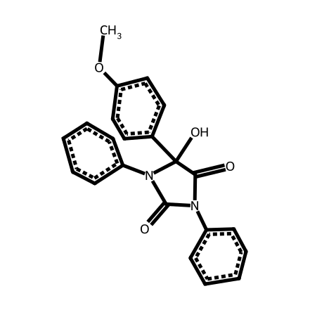 COc1ccc(C2(O)C(=O)N(c3ccccc3)C(=O)N2c2ccccc2)cc1